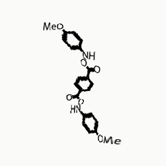 COc1ccc(NOC(=O)c2ccc(C(=O)ONc3ccc(OC)cc3)cc2)cc1